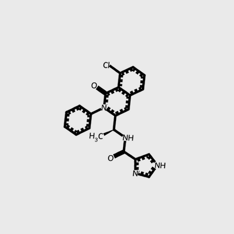 C[C@H](NC(=O)c1c[nH]cn1)c1cc2cccc(Cl)c2c(=O)n1-c1ccccc1